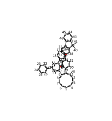 Cc1cccccccc(-c2nc(-c3ccccc3)nc(-c3ccccc3)n2)c1-c1ccc(-c2ccc3c(c2)C(C)(C)c2ccccc2-3)cc1